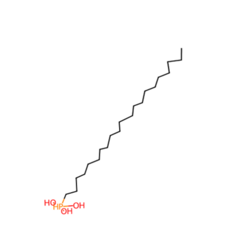 CCCCCCCCCCCCCCCCCCCCC[PH](O)(O)O